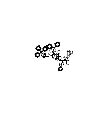 O=CNc1nc(/C(=N/OC2C=CCC2)C(=O)N[C@@H]2C(=O)N3C(C(=O)OC(c4ccccc4)c4ccccc4)=C(SCc4cnn(C(c5ccccc5)(c5ccccc5)c5ccccc5)c4)CS[C@@H]23)c(Cl)s1